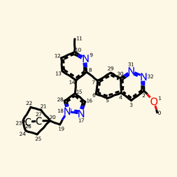 COc1cc2ccc(-c3nc(C)ccc3-c3cnn(CC45CCC(CC4)CC5)c3)cc2nn1